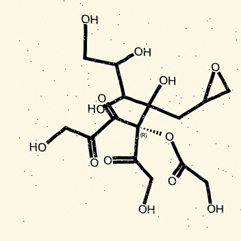 O=C(CO)O[C@](C(=O)CO)(C(=O)C(=O)CO)C(O)(CC1CO1)C(O)C(O)CO